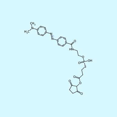 CN(C)c1ccc(/N=N/c2ccc(C(=O)NCCOP(=O)(O)SCCC(=O)OC3C(=O)CCC3=O)cc2)cc1